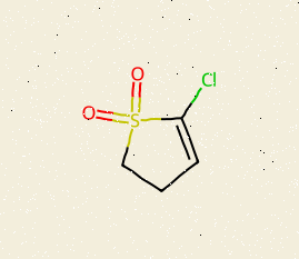 O=S1(=O)CCC=C1Cl